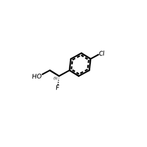 OC[C@@H](F)c1ccc(Cl)cc1